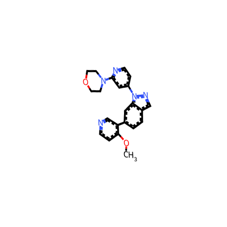 COc1ccncc1-c1ccc2cnn(-c3ccnc(N4CCOCC4)c3)c2c1